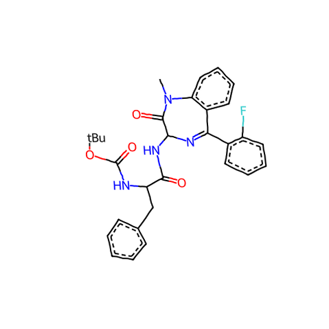 CN1C(=O)C(NC(=O)C(Cc2ccccc2)NC(=O)OC(C)(C)C)N=C(c2ccccc2F)c2ccccc21